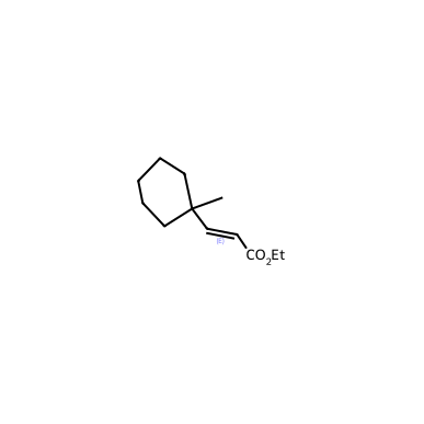 CCOC(=O)/C=C/C1(C)CCCCC1